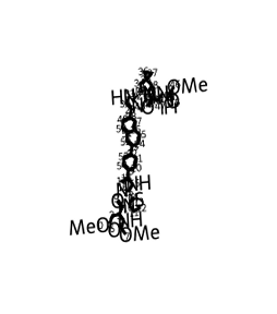 COCCC(NC(=O)OC)C(=O)N1CCS[C@H]1c1ncc(-c2ccc(-c3ccc4cc(-c5c[nH]c([C@@H]6CC7(CC7)CN6C(=O)[C@@H](NC(=O)OC)C(C)C)n5)ccc4c3)cc2)[nH]1